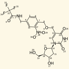 O=C(NCc1ccc(COCc2cn([C@H]3CC(O)[C@@H](CO)O3)c(=O)[nH]c2=O)c([N+](=O)[O-])c1)C(F)(F)F